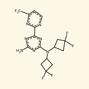 Nc1nc(-c2nccc(C(F)(F)F)n2)nc(N(C2CC(F)(F)C2)C2CC(F)(F)C2)n1